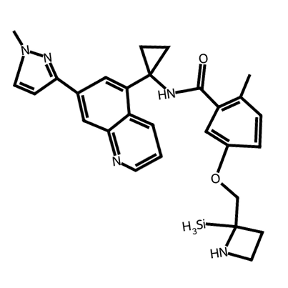 Cc1ccc(OCC2([SiH3])CCN2)cc1C(=O)NC1(c2cc(-c3ccn(C)n3)cc3ncccc23)CC1